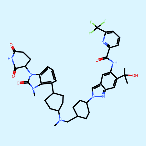 CN(CC1CCC(n2cc3cc(NC(=O)c4cccc(C(F)(F)F)n4)c(C(C)(C)O)cc3n2)CC1)C1CCC(c2cccc3c2n(C)c(=O)n3C2CCC(=O)NC2=O)CC1